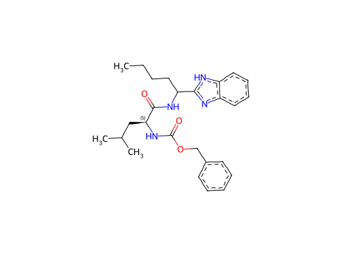 CCCCC(NC(=O)[C@H](CC(C)C)NC(=O)OCc1ccccc1)c1nc2ccccc2[nH]1